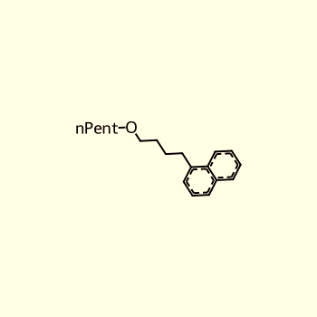 CCCCCOCCCCc1cccc2ccccc12